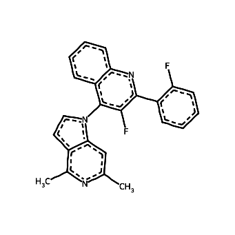 Cc1cc2c(ccn2-c2c(F)c(-c3ccccc3F)nc3ccccc23)c(C)n1